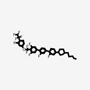 CCCCCC1CCC(c2ccc(-c3ccc(-c4cc(F)c(C(F)(F)Oc5ccc(C(F)(F)C(F)F)c(F)c5)c(F)c4)c(F)c3)c(F)c2)CC1